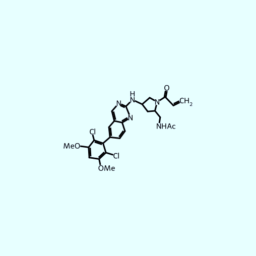 C=CC(=O)N1CC(Nc2ncc3cc(-c4c(Cl)c(OC)cc(OC)c4Cl)ccc3n2)CC1CNC(C)=O